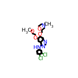 COCCOc1cc2c(Nc3ccc(Cl)c(Cl)c3)ncnc2cc1OCC1CN(C)CCO1